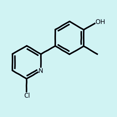 Cc1cc(-c2cccc(Cl)n2)ccc1O